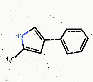 Cc1cc(-c2ccccc2)c[nH]1